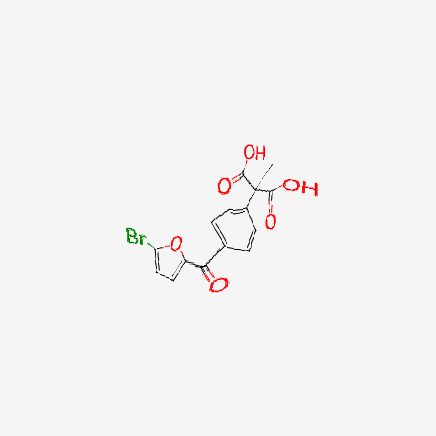 CC(C(=O)O)(C(=O)O)c1ccc(C(=O)c2ccc(Br)o2)cc1